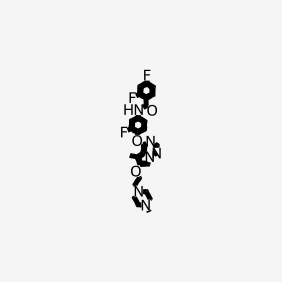 Cc1c(OCCN2CCN(C)CC2)cn2ncnc(Oc3ccc(NC(=O)c4ccc(F)cc4F)cc3F)c12